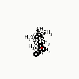 CCOC(=O)C(C(=O)OCC)C(CC(=O)c1c(C)cc(C)c(C(=O)P(=O)(c2ccccc2)c2ccccc2)c1C)C(=O)OC